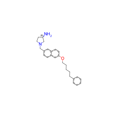 N[C@@H]1CCN(Cc2ccc3cc(OCCCCCc4ccccc4)ccc3c2)C1